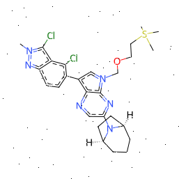 Cn1nc2ccc(-c3cn(COCCS(C)(C)C)c4nc(N5[C@@H]6CCC[C@H]5CC6)cnc34)c(Cl)c2c1Cl